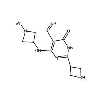 CC(C)N1CC(Nc2nc(C3CNC3)[nH]c(=O)c2C=N)C1